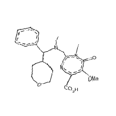 COc1c(C(=O)O)nc(N(C)C(c2ccccc2)C2CCOCC2)n(C)c1=O